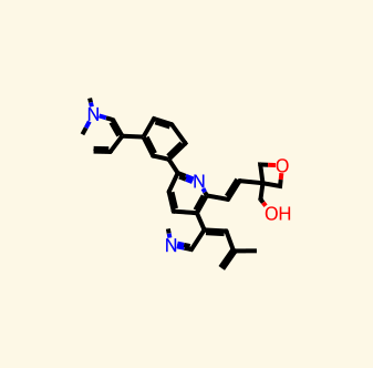 C=C/C(=C\N(C)C)c1cccc(-c2ccc(C(/C=N\C)=C/C(=C)C)c(/C=C/C3(CO)COC3)n2)c1